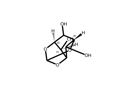 C[C@H]1C2OC3O[C@H](C2O)C(O)[C@@H]1O3